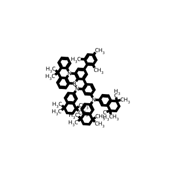 Cc1cc(C)c(-c2cc3c4c(c2)N2c5ccccc5C(C)(C)c5cccc(c52)B4N(c2ccc4c(c2)C(C)(C)CCC4(C)C)c2cc(N(c4ccc5c(c4)C(C)(C)CCC5(C)C)c4ccc5c(c4)C(C)(C)CCC5(C)C)ccc2-3)c(C)c1